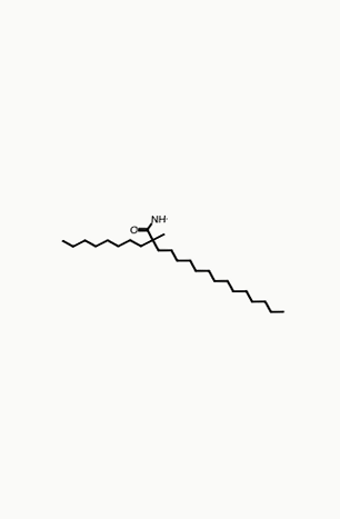 CCCCCCCCCCCCCCC(C)(CCCCCCCC)C([NH])=O